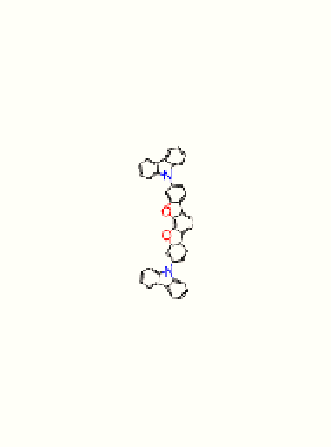 c1ccc2c(c1)c1ccccc1n2-c1ccc2c(c1)oc1c2ccc2c3ccc(-n4c5ccccc5c5ccccc54)cc3oc21